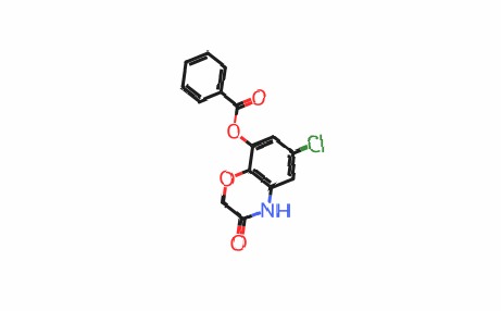 O=C1COc2c(cc(Cl)cc2OC(=O)c2ccccc2)N1